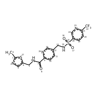 Cc1ncc(CNC(=O)c2ccc(CNS(=O)(=O)c3ccc(C(F)(F)F)nc3)cn2)s1